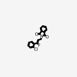 O=C1c2ccccc2C(=O)N1CC=C(F)c1ccccc1Cl